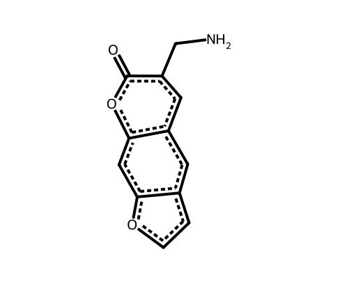 NCc1cc2cc3ccoc3cc2oc1=O